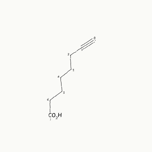 [C]#CCCCCCC(=O)O